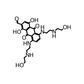 O=Cc1cc(O)c2c(c1O)C(=O)c1c(NCCNCCO)ccc(NCCNCCO)c1C2=O